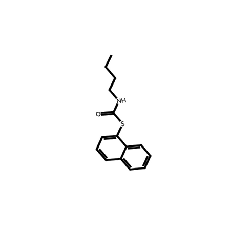 CCCCNC(=O)Sc1cccc2ccccc12